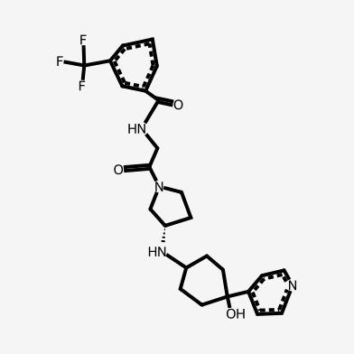 O=C(NCC(=O)N1CC[C@H](NC2CCC(O)(c3ccncc3)CC2)C1)c1cccc(C(F)(F)F)c1